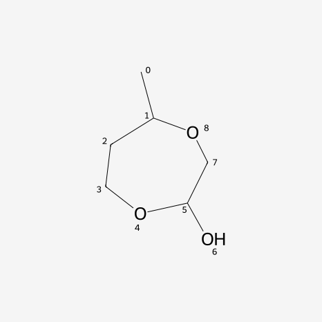 CC1CCOC(O)CO1